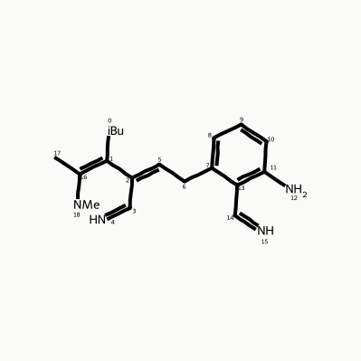 CCC(C)C(/C(C=N)=C/Cc1cccc(N)c1C=N)=C(\C)NC